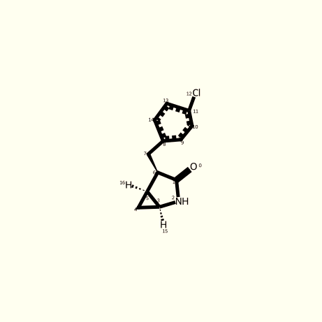 O=C1N[C@H]2C[C@H]2[C@H]1Cc1ccc(Cl)cc1